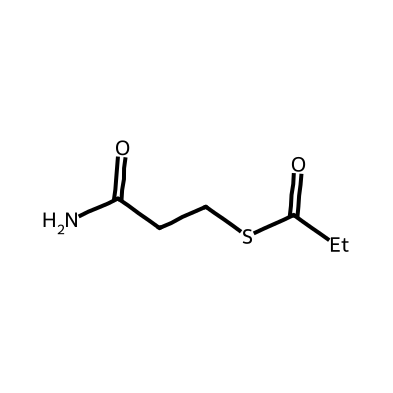 CCC(=O)SCCC(N)=O